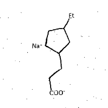 CCC1CCC(CCC(=O)[O-])C1.[Na+]